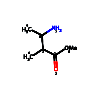 COC(=O)C(C)C(C)N